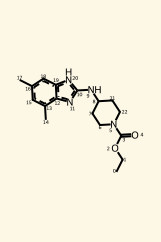 CCOC(=O)N1CCC(Nc2nc3c(C)cc(C)cc3[nH]2)CC1